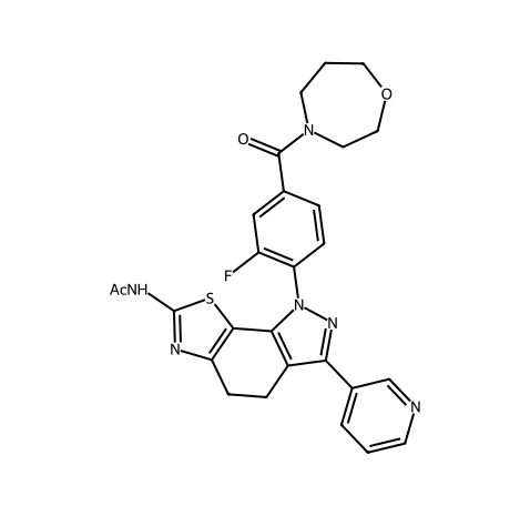 CC(=O)Nc1nc2c(s1)-c1c(c(-c3cccnc3)nn1-c1ccc(C(=O)N3CCCOCC3)cc1F)CC2